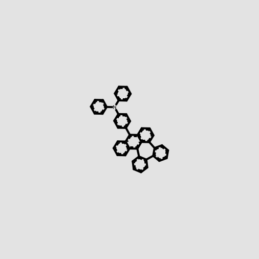 c1ccc(N(c2ccccc2)c2ccc(-c3c4ccccc4c4c5c(cccc35)-c3ccccc3-c3ccccc3-4)cc2)cc1